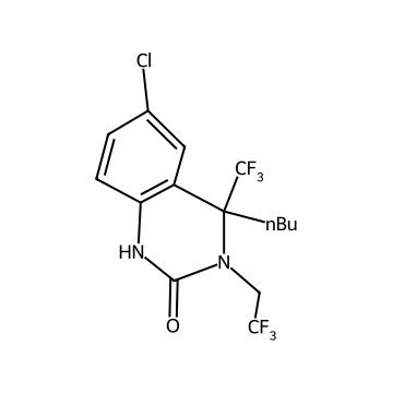 CCCCC1(C(F)(F)F)c2cc(Cl)ccc2NC(=O)N1CC(F)(F)F